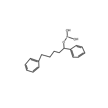 OP(O)OC(CCCCc1ccccc1)c1ccccc1